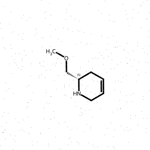 COC[C@@H]1CC=CCN1